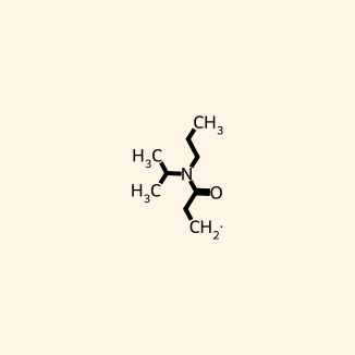 [CH2]CC(=O)N(CCC)C(C)C